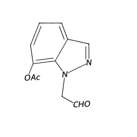 CC(=O)Oc1cccc2cnn(CC=O)c12